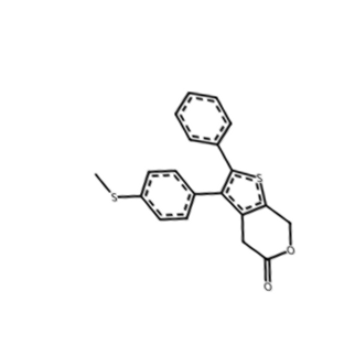 CSc1ccc(-c2c(-c3ccccc3)sc3c2CC(=O)OC3)cc1